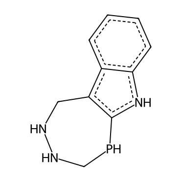 c1ccc2c3c([nH]c2c1)PCNNC3